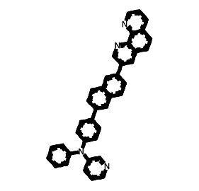 c1ccc(N(c2ccc(-c3ccc4cc(-c5cnc6c(ccc7cccnc76)c5)ccc4c3)cc2)c2cccnc2)cc1